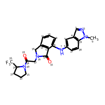 Cn1ncc2cc(Nc3cccc4c3C(=O)N(CC(=O)N3CCCC3C(F)(F)F)C4)ccc21